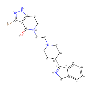 O=C1c2c(Br)n[nH]c2CCN1CCN1CCC(C2=NCc3ccccc32)CC1